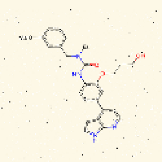 CCN(Cc1cccc(OC)c1)C(=O)Nc1ccc(-c2ccnc3[nH]ccc23)cc1OCCCO